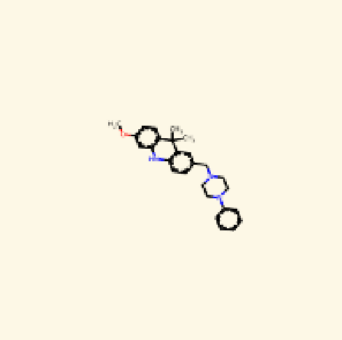 COc1ccc2c(c1)Nc1ccc(CN3CCN(c4ccccc4)CC3)cc1C2(C)C